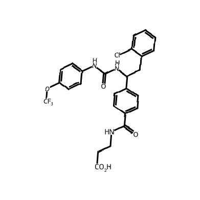 O=C(O)CCNC(=O)c1ccc(C(Cc2ccccc2Cl)NC(=O)Nc2ccc(OC(F)(F)F)cc2)cc1